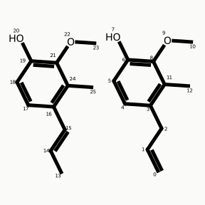 C=CCc1ccc(O)c(OC)c1C.CC=Cc1ccc(O)c(OC)c1C